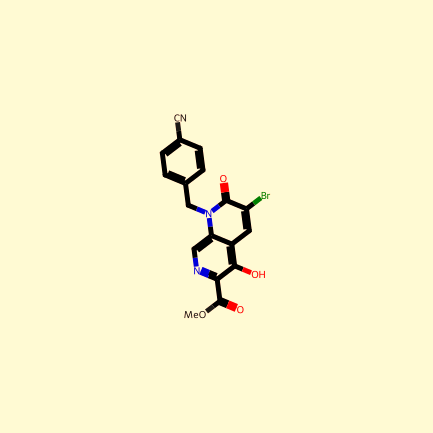 COC(=O)c1ncc2c(cc(Br)c(=O)n2Cc2ccc(C#N)cc2)c1O